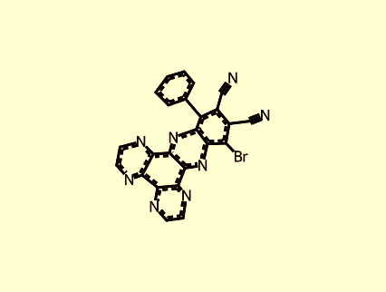 N#Cc1c(C#N)c(-c2ccccc2)c2nc3c4nccnc4c4nccnc4c3nc2c1Br